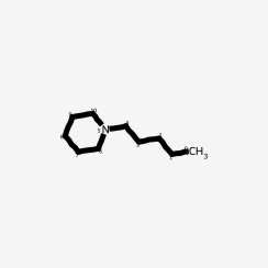 CCCCCN1CCCCC1